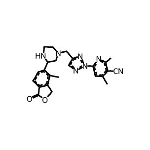 Cc1cc(-n2ncc(CN3CCNC(c4ccc5c(c4C)COC5=O)C3)n2)nc(C)c1C#N